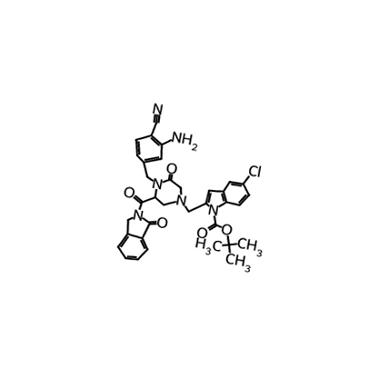 CC(C)(C)OC(=O)n1c(CN2CC(=O)N(Cc3ccc(C#N)c(N)c3)C(C(=O)N3Cc4ccccc4C3=O)C2)cc2cc(Cl)ccc21